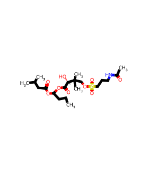 CCCC(OC(=O)CC(C)C)OC(=O)[C@H](O)C(C)(C)COS(=O)(=O)CCCNC(C)=O